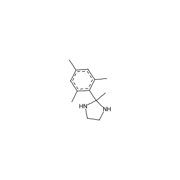 Cc1cc(C)c(C2(C)NCCN2)c(C)c1